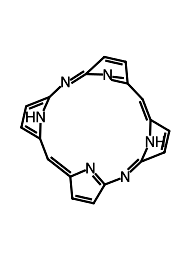 C1=Cc2nc1cc1ccc(nc3nc(cc4ccc(n2)[nH]4)C=C3)[nH]1